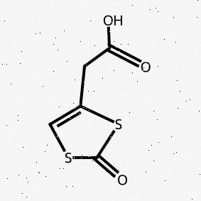 O=C(O)Cc1csc(=O)s1